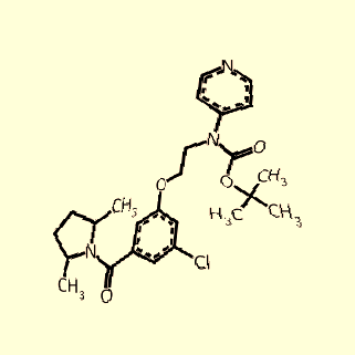 CC1CCC(C)N1C(=O)c1cc(Cl)cc(OCCN(C(=O)OC(C)(C)C)c2ccncc2)c1